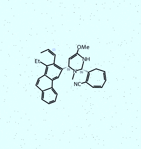 C/C=C\c1c([C@@H]2C=C(OC)N[C@H](C3=C(C#N)C=CC=CC3)N2C)cc2c(ccc3ccccc32)c1CC